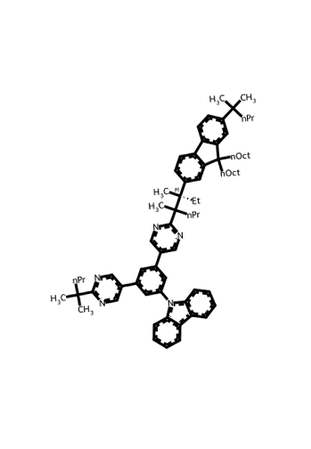 CCCCCCCCC1(CCCCCCCC)c2cc(C(C)(C)CCC)ccc2-c2ccc([C@@](C)(CC)C(C)(CCC)c3ncc(-c4cc(-c5cnc(C(C)(C)CCC)nc5)cc(-n5c6ccccc6c6ccccc65)c4)cn3)cc21